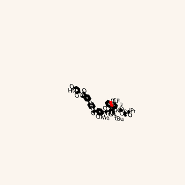 COc1cc(C(=O)N2CCN(c3ccc4c(c3)CN(C3CCC(=O)NC3=O)C4=O)CC2)ccc1NC(=O)[C@H]1[C@H](c2cccc(Cl)c2F)[C@]2(CN(C(=O)OC(C)OC(=O)C(C)C)c3cc(C(F)(F)F)ncc32)[C@H](CC(C)(C)C)N1C